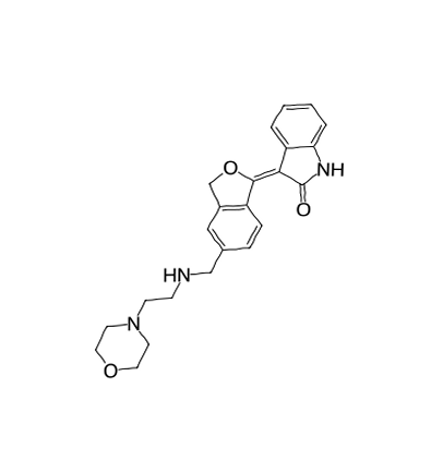 O=C1Nc2ccccc2C1=C1OCc2cc(CNCCN3CCOCC3)ccc21